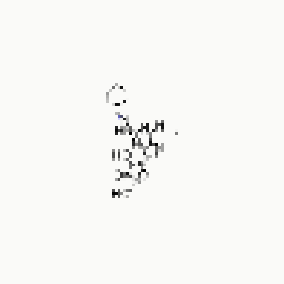 Nc1nc(N/N=C/C2CCCCC2)nc2c1ncn2[C@@H]1O[C@H](CO)[C@H](O)C1O